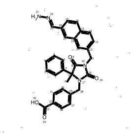 CC1(c2ccccc2)C(=O)N(Cc2ccc3ccc(C=NN)cc3c2)C(=O)N1Cc1ccc(C(=O)O)cc1